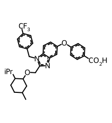 CC1CCC(C(C)C)C(OCc2nc3cc(Oc4ccc(C(=O)O)cc4)ccc3n2Cc2ccc(C(F)(F)F)cc2)C1